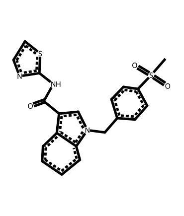 CS(=O)(=O)c1ccc(Cn2cc(C(=O)Nc3nccs3)c3ccccc32)cc1